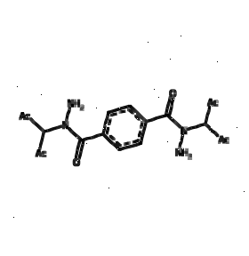 CC(=O)C(C(C)=O)N(N)C(=O)c1ccc(C(=O)N(N)C(C(C)=O)C(C)=O)cc1